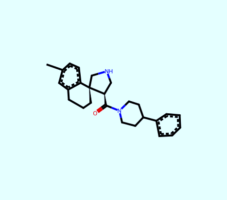 Cc1ccc2c(c1)CCC[C@]21CNC[C@H]1C(=O)N1CCC(c2ccccc2)CC1